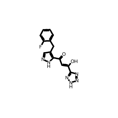 O=C(C=C(O)c1nn[nH]n1)c1[nH]ncc1Cc1ccccc1F